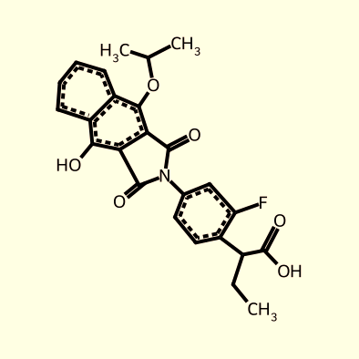 CCC(C(=O)O)c1ccc(N2C(=O)c3c(c(OC(C)C)c4ccccc4c3O)C2=O)cc1F